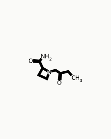 CCC(=O)CN1CCC1C(N)=O